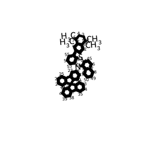 CC1(C)CCC(C)(C)c2cc3c(cc21)sc1c(N(c2ccc4c(c2)-c2ccccc2C42c4ccccc4-c4ccccc42)c2cccc4ccccc24)cccc13